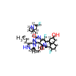 C#Cc1c(F)ccc2cc(O)cc(-c3nc4c5c(nc(OC[C@@]67CCCN6C[C@H](F)C7)nc5c3F)N3C[C@@H](CCC)NC[C@H]3CCO4)c12